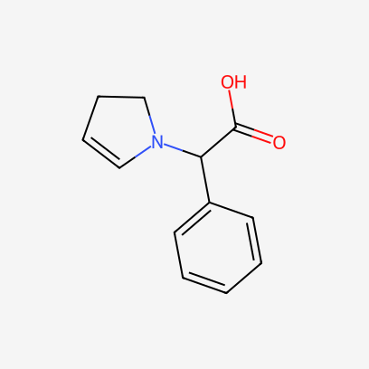 O=C(O)C(c1ccccc1)N1C=CCC1